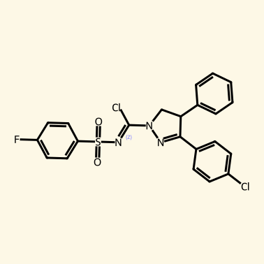 O=S(=O)(/N=C(\Cl)N1CC(c2ccccc2)C(c2ccc(Cl)cc2)=N1)c1ccc(F)cc1